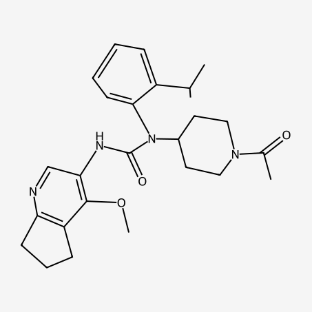 COc1c(NC(=O)N(c2ccccc2C(C)C)C2CCN(C(C)=O)CC2)cnc2c1CCC2